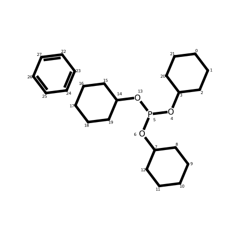 C1CCC(OP(OC2CCCCC2)OC2CCCCC2)CC1.c1ccccc1